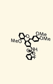 COc1ccc(C2Oc3cccc(OC)c3-c3ccc(NS(=O)(=O)c4ccccc4F)cc32)cc1OC